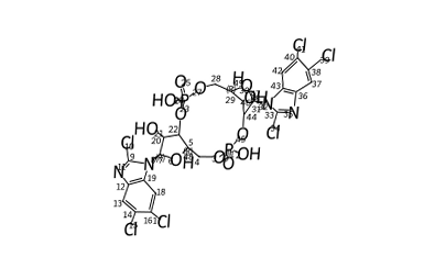 O=P1(O)OC[C@H]2O[C@@H](n3c(Cl)nc4cc(Cl)c(Cl)cc43)C(O)C2OP(=O)(O)OC[C@H]2O[C@@H](n3c(Cl)nc4cc(Cl)c(Cl)cc43)C(O1)C2O